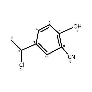 CC(Cl)c1ccc(O)c(C#N)c1